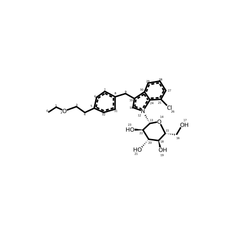 CCOCCc1ccc(Cc2cn([C@@H]3O[C@H](CO)[C@@H](O)[C@H](O)[C@H]3O)c3c(Cl)cccc23)cc1